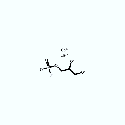 O=P([O-])([O-])OCC([O-])C[O-].[Ca+2].[Ca+2]